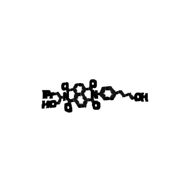 CC(C)CC(CO)N1C(=O)c2ccc3c4c(ccc(c24)C1=O)C(=O)N(c1ccc(CCCCO)cc1)C3=O